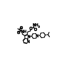 CC(C)C1CCC(N2CCC(n3c(CCOC(N)=O)c(CNS(C)(=O)=O)c4cccnc43)CC2)CC1